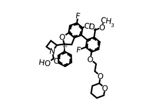 COC(=O)c1ccc(OCCOC2CCCCO2)c(F)c1-c1c(Cl)c(F)cc2c1C[C@](c1ccccc1)(C1CCN1C(=O)O)O2